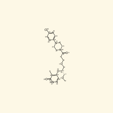 COC[C@@H](COCCC(=O)N1CCN(c2cnc(Cl)cn2)CC1)Oc1cn[nH]c(=O)c1C